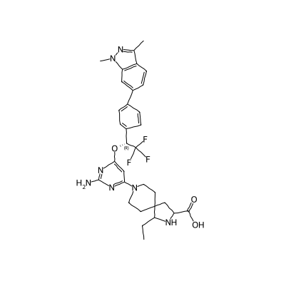 CCC1NC(C(=O)O)CC12CCN(c1cc(O[C@H](c3ccc(-c4ccc5c(C)nn(C)c5c4)cc3)C(F)(F)F)nc(N)n1)CC2